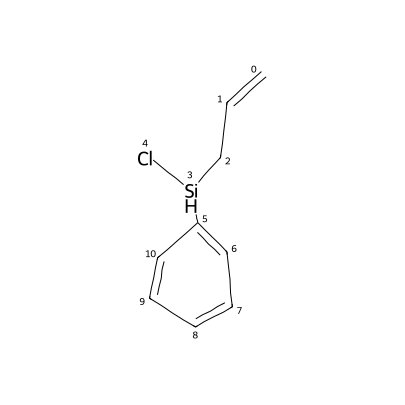 C=CC[SiH](Cl)c1ccccc1